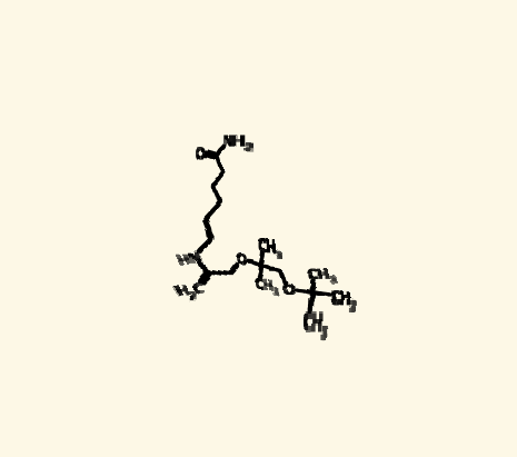 C=C(COC(C)(C)COC(C)(C)C)NCCCCCC(N)=O